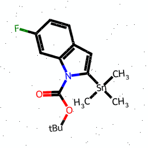 CC(C)(C)OC(=O)n1[c]([Sn]([CH3])([CH3])[CH3])cc2ccc(F)cc21